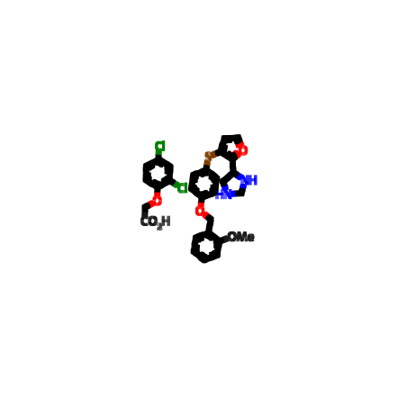 COc1ccccc1COc1ccc(Sc2ccoc2C2CNCN2)cc1.O=C(O)COc1ccc(Cl)cc1Cl